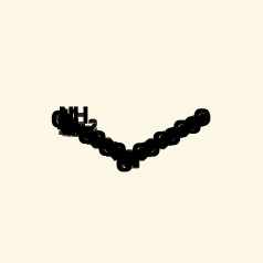 COCCOCCOCCOCCOCCOCCOCCN(C)C(=O)CCOCCOCCOCCOCCCc1cccc(C(N)=O)c1